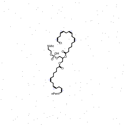 CC/C=C\C/C=C\C/C=C\C/C=C\CCCCC(=O)OC(COC(=O)CCCC/C=C\C/C=C\C/C=C\CCCCC)COP(=O)(O)OCCNC